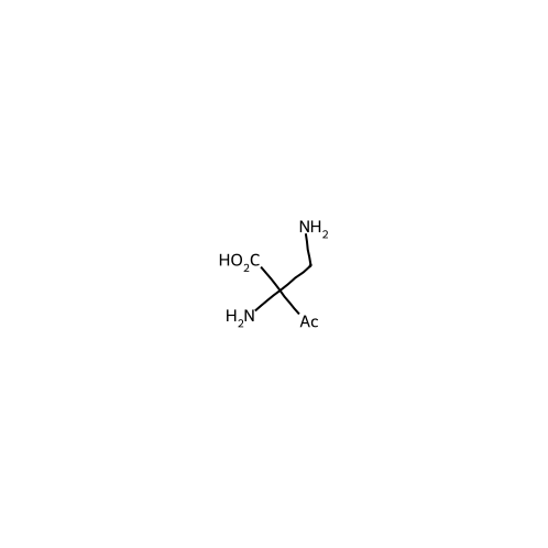 CC(=O)C(N)(CN)C(=O)O